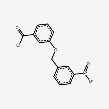 O=C(Cl)c1cccc(OCc2cccc([N+](=O)[O-])c2)c1